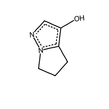 Oc1cnn2c1CCC2